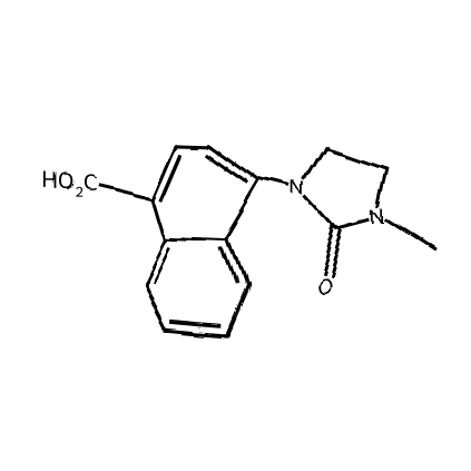 CN1CCN(c2ccc(C(=O)O)c3ccccc23)C1=O